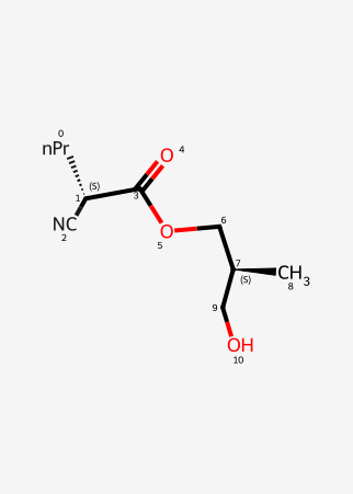 CCC[C@@H](C#N)C(=O)OC[C@@H](C)CO